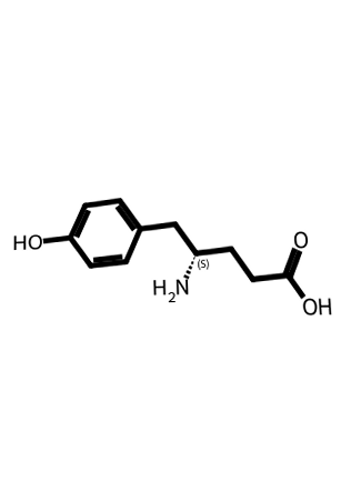 N[C@@H](CCC(=O)O)Cc1ccc(O)cc1